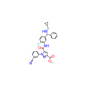 COC(=O)c1cc(C(=O)Nc2cc(C(NCC3CC3)c3ccccc3)ccc2F)n(-c2cccc(C#N)c2)n1